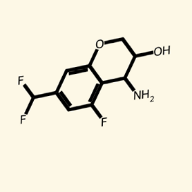 NC1c2c(F)cc(C(F)F)cc2OCC1O